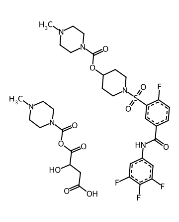 CN1CCN(C(=O)OC(=O)C(O)CC(=O)O)CC1.CN1CCN(C(=O)OC2CCN(S(=O)(=O)c3cc(C(=O)Nc4cc(F)c(F)c(F)c4)ccc3F)CC2)CC1